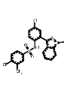 Cn1nc(-c2cc(Cl)ccc2NS(=O)(=O)c2ccc(Cl)c(C(F)(F)F)c2)c2ccccc21